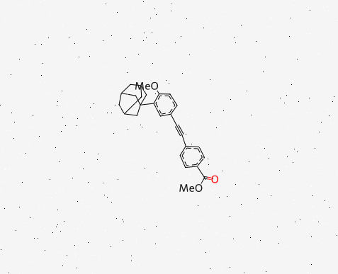 COC(=O)c1ccc(C#Cc2ccc(OC)c(C34CC5CC(CC(C5)C3)C4)c2)cc1